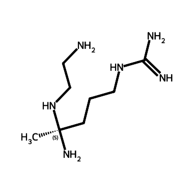 C[C@@](N)(CCCNC(=N)N)NCCN